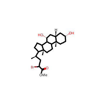 COC(=O)C(Br)C[C@@H](C)C1CCC2C3C(CC[C@@]21C)[C@@]1(C)CC[C@@H](O)C[C@H]1C[C@H]3O